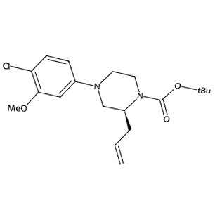 C=CC[C@H]1CN(c2ccc(Cl)c(OC)c2)CCN1C(=O)OC(C)(C)C